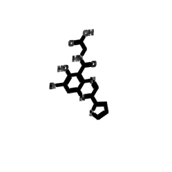 O=C(O)CNC(=O)c1c(O)c(Br)cc2nc(-c3cccs3)cnc12